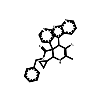 CC(=O)C1=C(C)NC(C2CC2)C(C(=O)OCc2ccccc2)(c2ccncc2)C1c1csc2ncccc12